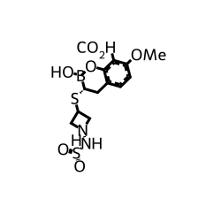 COc1ccc2c(c1C(=O)O)OB(O)[C@@H](SC1CN(N[SH](=O)=O)C1)C2